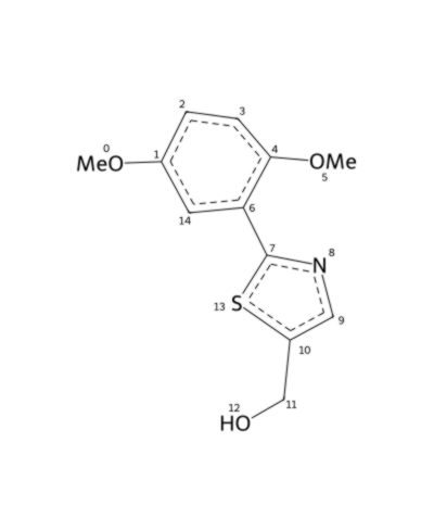 COc1ccc(OC)c(-c2ncc(CO)s2)c1